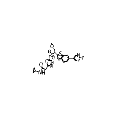 COCC(c1nc2ccc(-c3ccc(F)nc3)cc2s1)S(=O)(=O)Cc1nnc(CC(=O)NC2CC2)o1